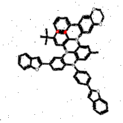 Cc1cc2c3c(c1)N(c1cc4c(cc1-c1ccccc1)OCCO4)c1ccc(C(C)(C)C)cc1B3c1cc(-c3cc4ccccc4o3)ccc1N2c1ccc(-c2cc3ccccc3o2)cc1